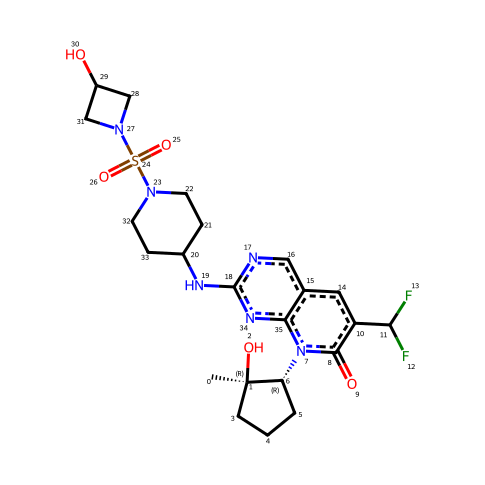 C[C@@]1(O)CCC[C@H]1n1c(=O)c(C(F)F)cc2cnc(NC3CCN(S(=O)(=O)N4CC(O)C4)CC3)nc21